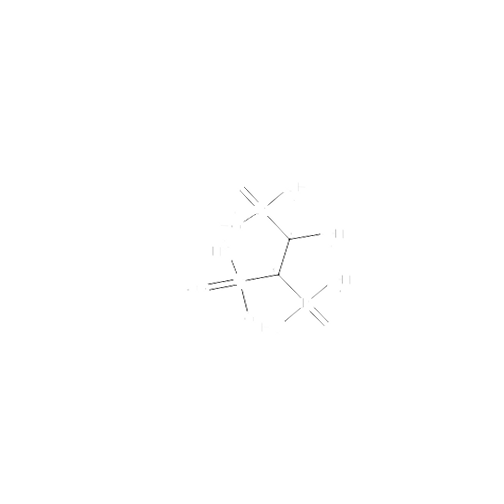 O=P(O)(O)C(O)C(P(=O)(O)O)P(=O)(O)O